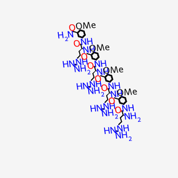 COc1ccc(NC(=O)[C@H](CCCNC(=N)N)NC(=O)c2cc(NC(=O)[C@H](CCCNC(=N)N)NC(=O)c3cc(NC(=O)[C@H](CCCNC(=N)N)NC(=O)c4cc(NC(=O)[C@@H](N)CCCNC(=N)N)ccc4OC)ccc3OC)ccc2OC)cc1C(N)=O